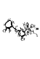 CN(C)S(=O)(=O)Nc1cc(Cl)nc(SCc2cccc(Cl)c2F)n1